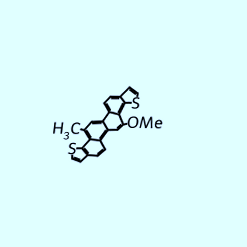 COc1cc2c(cc(C)c3c2ccc2ccsc23)c2ccc3ccsc3c12